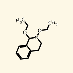 CCO[C]1c2ccccc2CCN1OCC